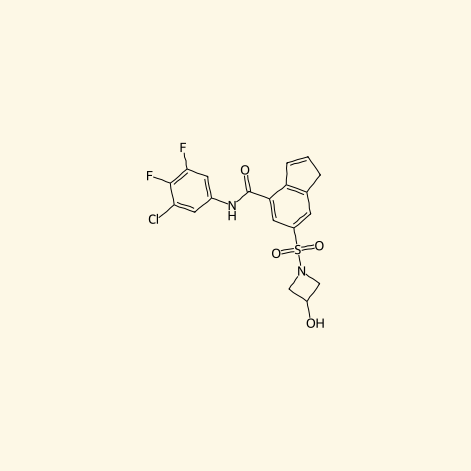 O=C(Nc1cc(F)c(F)c(Cl)c1)c1cc(S(=O)(=O)N2CC(O)C2)cc2c1C=CC2